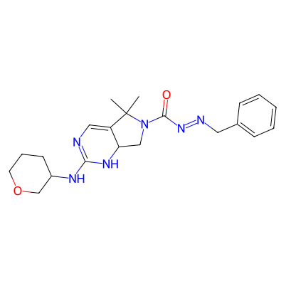 CC1(C)C2=CN=C(NC3CCCOC3)NC2CN1C(=O)N=NCc1ccccc1